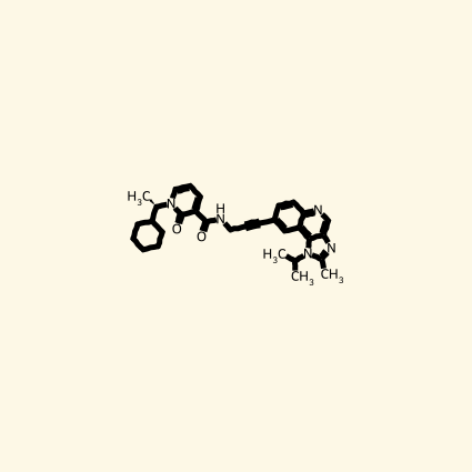 Cc1nc2cnc3ccc(C#CCNC(=O)c4cccn([C@@H](C)C5CCCCC5)c4=O)cc3c2n1C(C)C